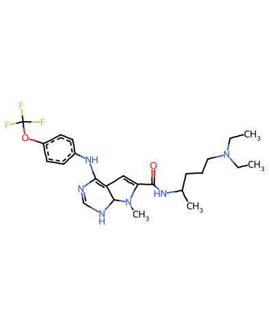 CCN(CC)CCCC(C)NC(=O)C1=CC2=C(Nc3ccc(OC(F)(F)F)cc3)N=CNC2N1C